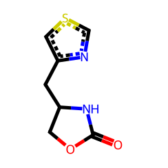 O=C1NC(Cc2cscn2)CO1